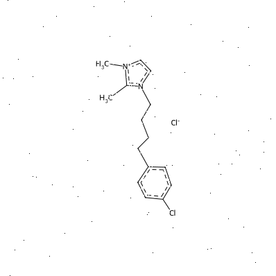 Cc1n(CCCCc2ccc(Cl)cc2)cc[n+]1C.[Cl-]